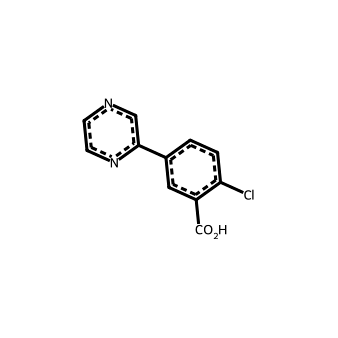 O=C(O)c1cc(-c2cnccn2)ccc1Cl